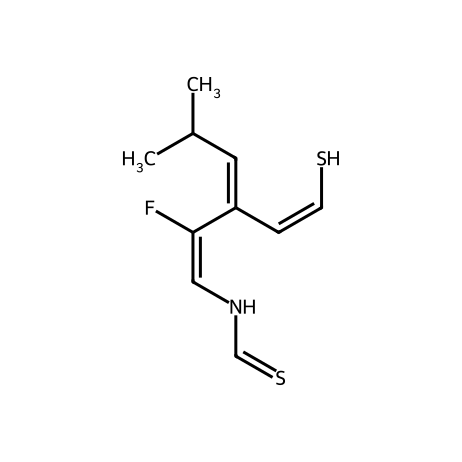 CC(C)/C=C(/C=C\S)C(\F)=C/NC=S